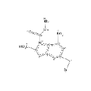 CCOC(=O)c1cc2cc(CBr)cc([N+](=O)[O-])c2n1C(=O)OC(C)(C)C